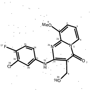 COc1cccn2c(=O)c(CO)c(Nc3ccc(F)c(Cl)c3)nc12